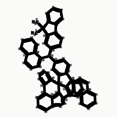 CC1(C)c2ccccc2-c2ccc(N(c3ccc4c(c3)C3(c5ccccc5-4)c4ccccc4-c4cccc5ccc(-c6cccc7ccccc67)c3c45)c3cccc4ccccc34)cc21